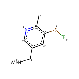 CNCc1cnc(C)c(SF)c1